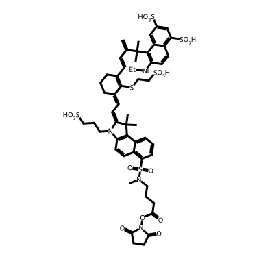 C=C(/C=C/C1=C(SCCS(=O)(=O)O)C(=C/C=C2/N(CCCS(=O)(=O)O)c3ccc4c(S(=O)(=O)N(C)CCCC(=O)ON5C(=O)CCC5=O)cccc4c3C2(C)C)/CCC1)C(C)(C)c1c(NCC)ccc2c(S(=O)(=O)O)cc(S(=O)(=O)O)cc12